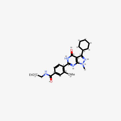 CCOC(=O)CNC(=O)c1ccc(-c2nc3c(c(C4CCCCC4)nn3C)c(=O)[nH]2)c(OC)c1